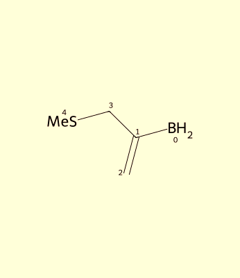 BC(=C)CSC